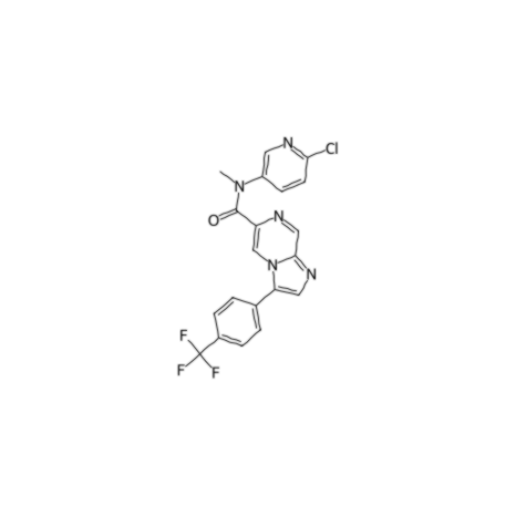 CN(C(=O)c1cn2c(-c3ccc(C(F)(F)F)cc3)cnc2cn1)c1ccc(Cl)nc1